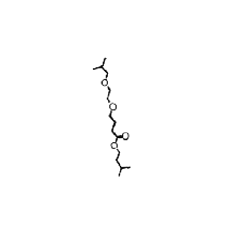 CC(C)CCOC(=O)CCCOCCOCC(C)C